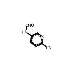 N#Cc1ccc(NC=O)cn1